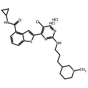 CN1CCCC(CCCNc2ncc(Cl)c(-c3cc4c(C(=O)NC5CC5)cccc4s3)n2)C1.Cl.Cl